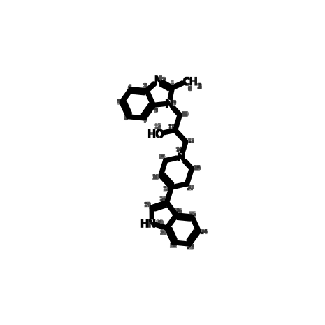 Cc1nc2ccccc2n1CC(O)CN1CC=C(c2c[nH]c3ccccc23)CC1